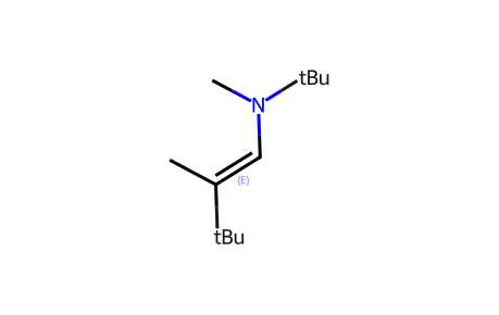 C/C(=C\N(C)C(C)(C)C)C(C)(C)C